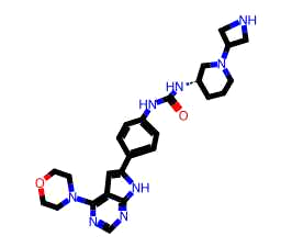 O=C(Nc1ccc(-c2cc3c(N4CCOCC4)ncnc3[nH]2)cc1)N[C@H]1CCCN(C2CNC2)C1